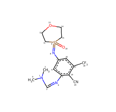 CN(C)/C=N\c1cc(N=S2(=O)CCOCC2)cc(C(F)(F)F)c1C#N